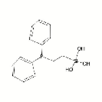 O[Si](O)(O)CCP(c1ccccc1)c1ccccc1